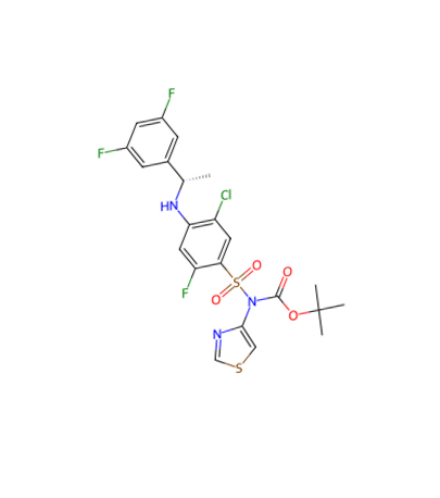 C[C@H](Nc1cc(F)c(S(=O)(=O)N(C(=O)OC(C)(C)C)c2cscn2)cc1Cl)c1cc(F)cc(F)c1